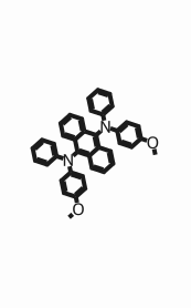 COc1ccc(N(c2ccccc2)c2c3ccccc3c(N(c3ccccc3)c3ccc(OC)cc3)c3ccccc23)cc1